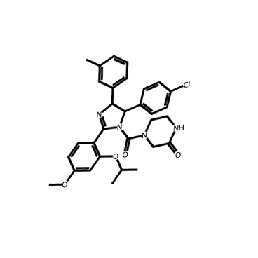 COc1ccc(C2=NC(c3cccc(C)c3)C(c3ccc(Cl)cc3)N2C(=O)N2CCNC(=O)C2)c(OC(C)C)c1